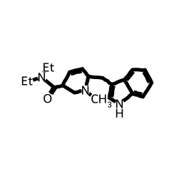 CCN(CC)C(=O)C1C=CC(Cc2c[nH]c3ccccc23)N(C)C1